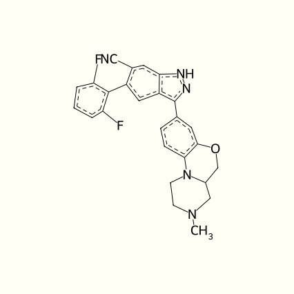 CN1CCN2c3ccc(-c4n[nH]c5cc(C#N)c(-c6c(F)cccc6F)cc45)cc3OCC2C1